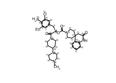 CCc1cc(C[C@@H](OC(=O)N2CCC3(CC2)CC(=O)Nc2ccccc23)C(=O)N2CCC(N3CCN(C)CC3)CC2)cc(Cl)c1N